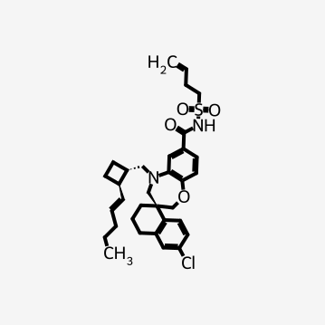 C=CCCS(=O)(=O)NC(=O)c1ccc2c(c1)N(C[C@H]1CC[C@@H]1/C=C/CCC)C[C@@]1(CCCc3cc(Cl)ccc31)CO2